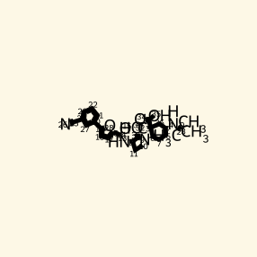 CC(C)(C)N[C@@H]1CC[C@H](N2CCC(NC(=O)c3ccc(-c4cccc(C#N)c4)o3)C2=O)[C@](C)(C(=O)O)C1